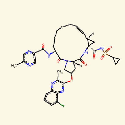 Cc1cnc(C(=O)N[C@H]2CCCCCC=C[C@@H]3C[C@@]3(C(=O)NS(=O)(=O)C3CC3)NC(=O)[C@@H]3C[C@@H](Oc4nc5c(F)cccc5nc4C)CN3C2=O)cn1